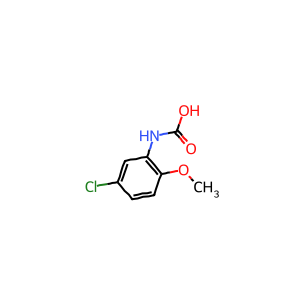 COc1ccc(Cl)cc1NC(=O)O